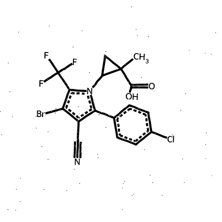 CC1(C(=O)O)CC1n1c(-c2ccc(Cl)cc2)c(C#N)c(Br)c1C(F)(F)F